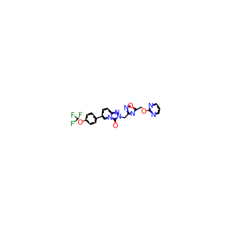 O=c1n(Cc2noc(COc3ncccn3)n2)nc2ccc(-c3ccc(OC(F)(F)F)cc3)cn12